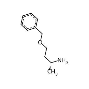 C[C@@H](N)CCOCc1ccccc1